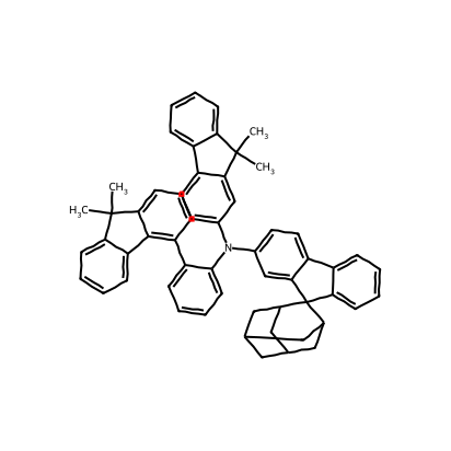 CC1(C)c2ccccc2-c2ccc(N(c3ccc4c(c3)C3(c5ccccc5-4)C4CC5CC(C4)CC3C5)c3ccccc3-c3cccc4c3-c3ccccc3C4(C)C)cc21